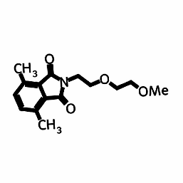 COCCOCCN1C(=O)c2c(C)ccc(C)c2C1=O